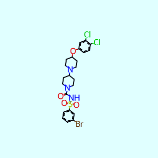 O=C(NS(=O)(=O)c1cccc(Br)c1)N1CCC(N2CCC(Oc3ccc(Cl)c(Cl)c3)CC2)CC1